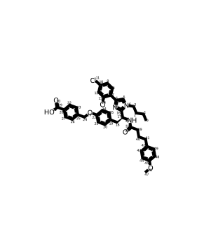 CCCCn1cc(-c2ccc(Cl)cc2Cl)nc1[C@H](Cc1ccc(OCc2ccc(C(=O)O)cc2)cc1)NC(=O)CCCc1ccc(OC)cc1